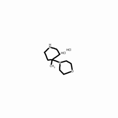 CC1(N2CCOCC2)CCNCC1.Cl.Cl